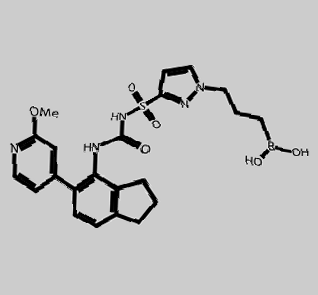 COc1cc(-c2ccc3c(c2NC(=O)NS(=O)(=O)c2ccn(CCCB(O)O)n2)CCC3)ccn1